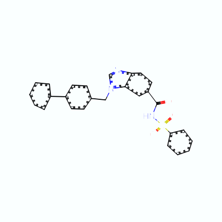 O=C(NS(=O)(=O)c1ccccc1)c1ccc2ncn(Cc3ccc(-c4ccccc4)cc3)c2c1